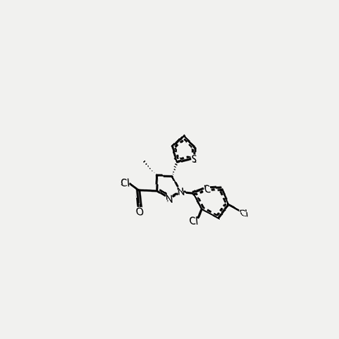 C[C@H]1C(C(=O)Cl)=NN(c2ccc(Cl)cc2Cl)[C@H]1c1cccs1